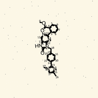 COC(=O)c1ccccc1-c1ncc2[nH]c(=O)n(Cc3ccc(-c4nc(C)cn4C)cc3)c2n1